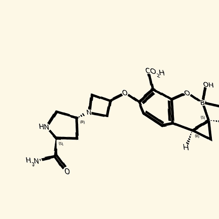 [NH3+]C(=O)[C@@H]1C[C@@H](N2CC(Oc3ccc4c(c3C(=O)O)O[B-](O)(O)[C@H]3C[C@@H]43)C2)CN1